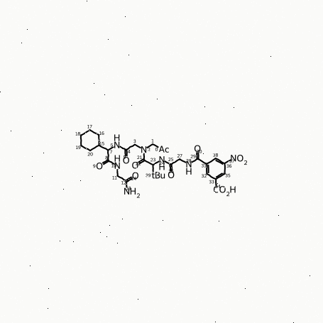 CC(=O)CN(CC(=O)NC(C(=O)NCC(N)=O)C1CCCCC1)C(=O)C(NC(=O)CNC(=O)c1cc(C(=O)O)cc([N+](=O)[O-])c1)C(C)(C)C